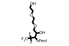 CCCCCC(C(O)COCCOCCO)C(F)(F)C(F)(F)F